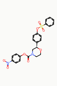 O=C(Oc1ccc([N+](=O)[O-])cc1)N1CCO[C@H](c2ccc(OS(=O)(=O)c3ccccc3)cc2)C1